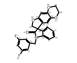 O=C1N(Cc2cc(F)cc(F)c2)c2ccccc2C12COc1cc3c(cc12)OCCO3